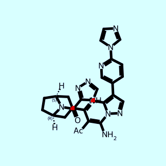 CC(=O)c1c(C2C[C@H]3CC[C@@H](C2)N3C(=O)c2nnc[nH]2)nc2c(-c3ccc(-n4ccnc4)nc3)cnn2c1N